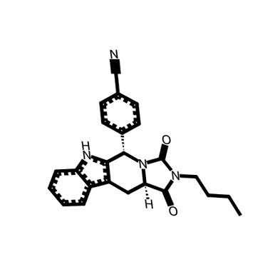 CCCCN1C(=O)[C@H]2Cc3c([nH]c4ccccc34)[C@H](c3ccc(C#N)cc3)N2C1=O